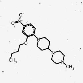 CCCCOc1cc([N+](=O)[O-])ccc1N1CCC(N2CCN(C)CC2)CC1